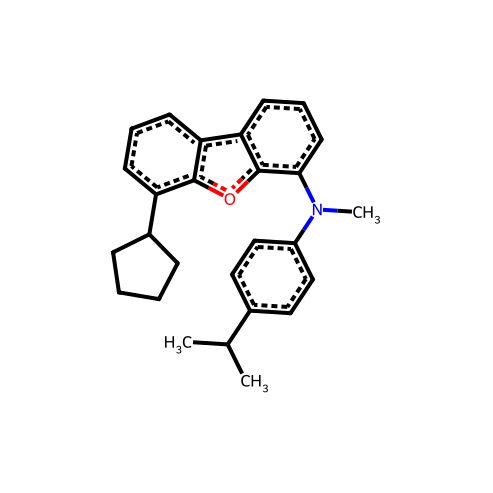 CC(C)c1ccc(N(C)c2cccc3c2oc2c(C4CCCC4)cccc23)cc1